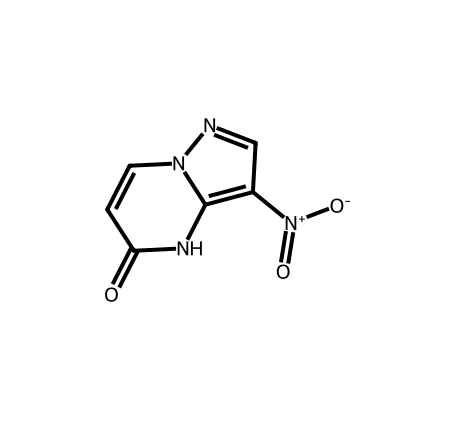 O=c1ccn2ncc([N+](=O)[O-])c2[nH]1